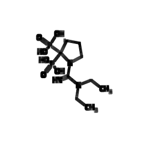 CCN(CC)C(=N)N1CC[C]C1(P(=O)(O)O)P(=O)(O)O